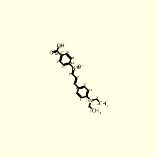 CCN(CC)c1ccc(C=CC=[N+]([O-])c2ccc(C(=O)O)cc2)cc1